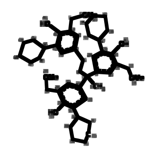 COCc1cc(CCC(C)(c2cc(COC)c(O)c(C3CCCCC3)c2)c2cc(COC)c(O)c(C3CCCCC3)c2)cc(C2CCCCC2)c1O